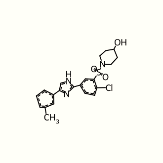 Cc1cccc(-c2c[nH]c(-c3ccc(Cl)c(S(=O)(=O)N4CCC(O)CC4)c3)n2)c1